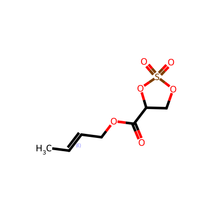 C/C=C/COC(=O)C1COS(=O)(=O)O1